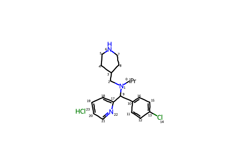 CC(C)N(CC1CCNCC1)C(c1ccc(Cl)cc1)c1ccccn1.Cl